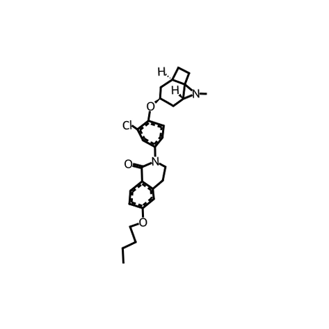 CCCCOc1ccc2c(c1)CCN(c1ccc(O[C@H]3C[C@H]4CCC45[C@@H](C3)N5C)c(Cl)c1)C2=O